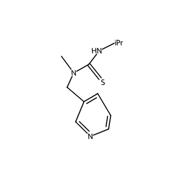 CC(C)NC(=S)N(C)Cc1cccnc1